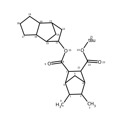 CC1C(C)C2CC1C(C(=O)OC1CC3CC1C1CCCC31)C2C(=O)OC(C)(C)C